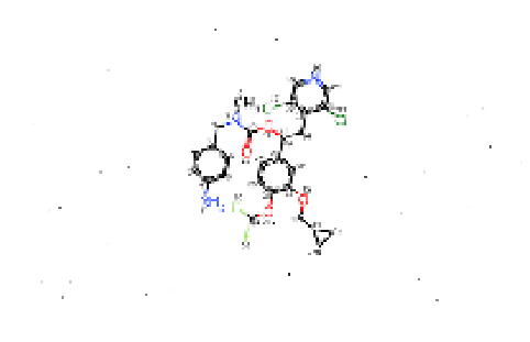 CN(Cc1ccc(N)cc1)C(=O)O[C@@H](Cc1c(Cl)cncc1Cl)c1ccc(OC(F)F)c(OCC2CC2)c1